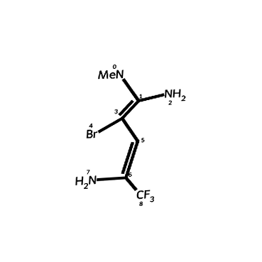 CN/C(N)=C(Br)/C=C(\N)C(F)(F)F